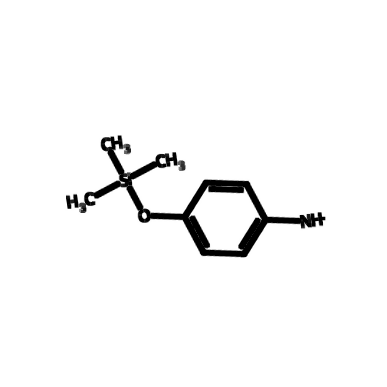 C[Si](C)(C)Oc1ccc([NH])cc1